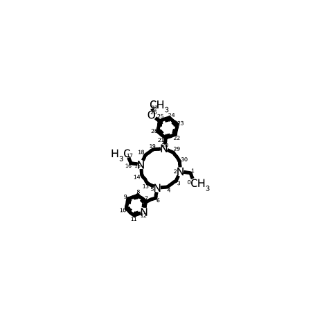 CCN1CCN(Cc2ccccn2)CCN(CC)CCN(c2cccc(OC)c2)CC1